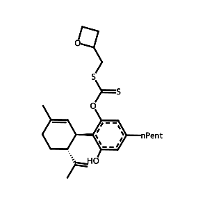 C=C(C)[C@@H]1CCC(C)=C[C@H]1c1c(O)cc(CCCCC)cc1OC(=S)SCC1CCO1